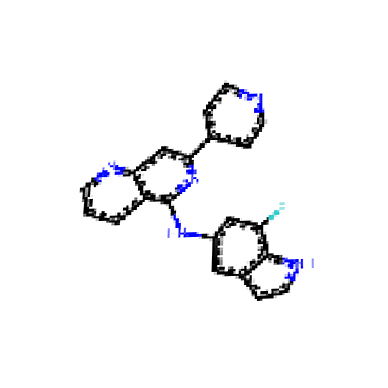 Fc1cc(Nc2nc(-c3ccncc3)cc3ncccc23)cc2cc[nH]c12